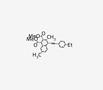 CCc1ccc(C#Cc2c(C)c(C(=O)OC)c(C(=O)OC)c3cc(C)ccc23)cc1